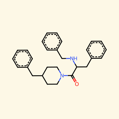 O=C(C(Cc1ccccc1)NCc1ccccc1)N1CCC(Cc2ccccc2)CC1